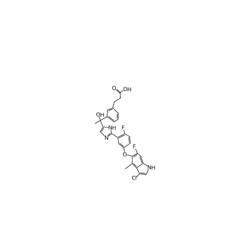 Cc1c(Oc2ccc(F)c(-c3ncc(C(C)(O)c4cccc(CCC(=O)O)c4)[nH]3)c2)c(F)cc2[nH]cc(Cl)c12